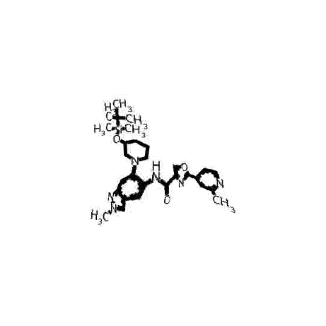 Cc1cc(-c2nc(C(=O)Nc3cc4cn(C)nc4cc3N3CCCC(O[Si](C)(C)C(C)(C)C)C3)co2)ccn1